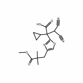 COC(=O)C(C)(C)Cc1coc(C(C(=O)O)(C(C#N)C#N)C2CC2)n1